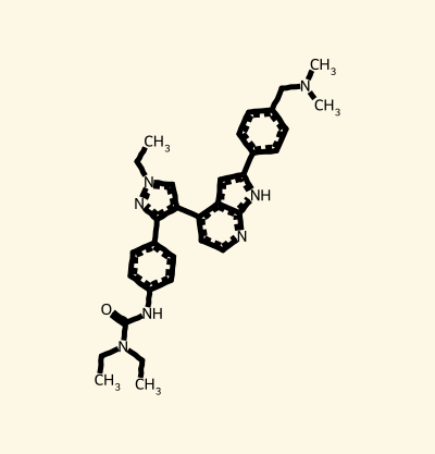 CCN(CC)C(=O)Nc1ccc(-c2nn(CC)cc2-c2ccnc3[nH]c(-c4ccc(CN(C)C)cc4)cc23)cc1